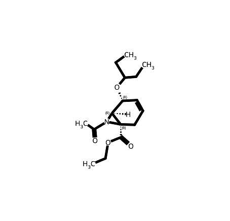 CCOC(=O)[C@@]12CC=C[C@@H](OC(CC)CC)[C@@H]1N2C(C)=O